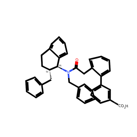 O=C(O)c1cccc(-c2ccccc2CC(=O)N(Cc2ccccc2)[C@@H]2c3ccccc3CC[C@H]2Cc2ccccc2)c1